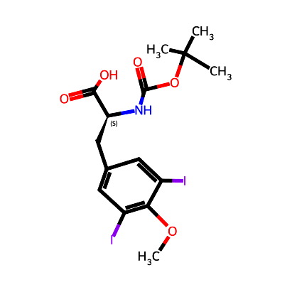 COc1c(I)cc(C[C@H](NC(=O)OC(C)(C)C)C(=O)O)cc1I